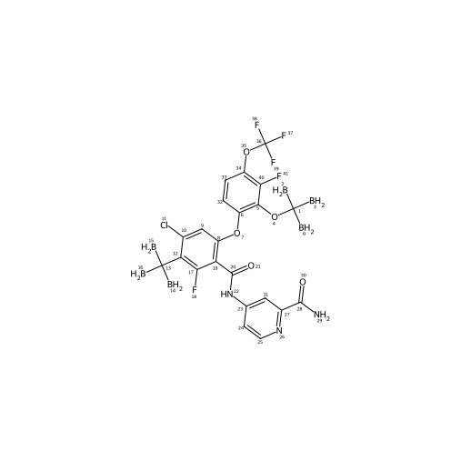 BC(B)(B)Oc1c(Oc2cc(Cl)c(C(B)(B)B)c(F)c2C(=O)Nc2ccnc(C(N)=O)c2)ccc(OC(F)(F)F)c1F